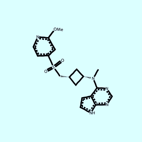 COc1cc(S(=O)(=O)C[C@H]2C[C@@H](N(C)c3ncnc4[nH]ccc34)C2)ccn1